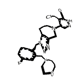 O=c1[nH]ncc(N2CCc3c(nnn3Cc3ccc(F)cc3CN3CCOCC3)C2)c1Cl